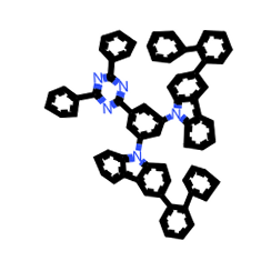 c1ccc(-c2nc(-c3ccccc3)nc(-c3cc(-n4c5ccccc5c5cc(-c6ccccc6-c6ccccc6)ccc54)cc(-n4c5ccccc5c5cc(-c6ccccc6-c6ccccc6)ccc54)c3)n2)cc1